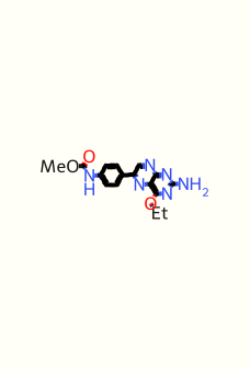 CCOc1nc(N)nc2ncc(-c3ccc(NC(=O)OC)cc3)nc12